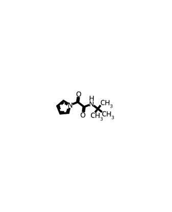 CC(C)(C)NC(=O)C(=O)n1cccc1